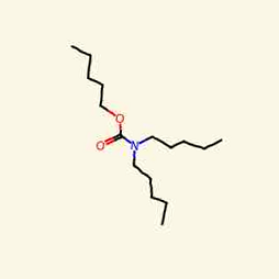 CCCCCOC(=O)N(CCCCC)CCCCC